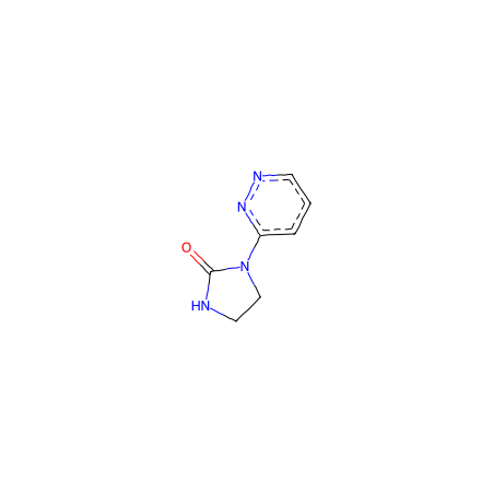 O=C1NCCN1c1cccnn1